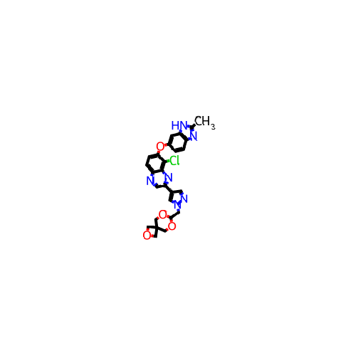 Cc1nc2ccc(Oc3ccc4ncc(-c5cnn(CC6OCC7(COC7)CO6)c5)nc4c3Cl)cc2[nH]1